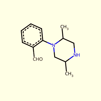 CC1CN(c2ccccc2C=O)C(C)CN1